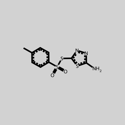 Cc1ccc(S(=O)(=O)Sc2nnc(N)s2)cc1